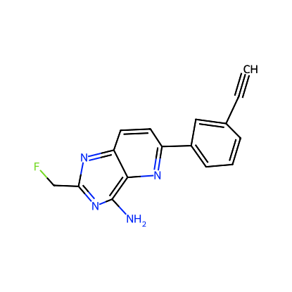 C#Cc1cccc(-c2ccc3nc(CF)nc(N)c3n2)c1